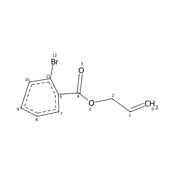 C=CCOC(=O)c1ccccc1Br